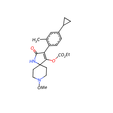 CCOC(=O)OC1=C(c2ccc(C3CC3)cc2C)C(=O)NC12CCN(OC)CC2